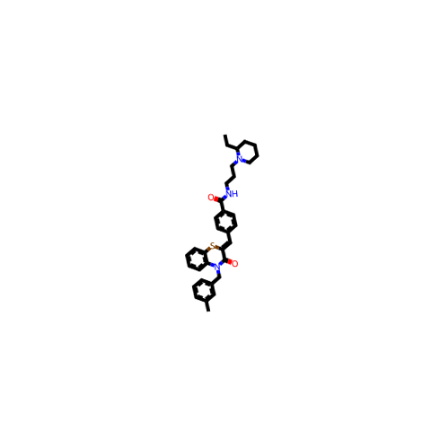 CCC1CCCCN1CCCNC(=O)c1ccc(/C=C2\Sc3ccccc3N(Cc3cccc(C)c3)C2=O)cc1